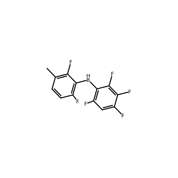 Cc1ccc(F)c(Bc2c(F)cc(F)c(F)c2F)c1F